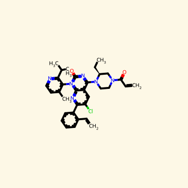 C=CC(=O)N1CCN(c2nc(=O)n(-c3c(C)ccnc3C(C)C)c3nc(-c4ccccc4C=C)c(Cl)cc23)[C@@H](CC)C1